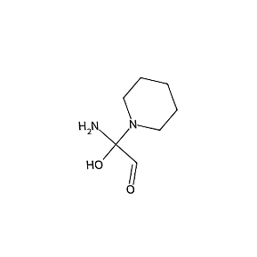 NC(O)(C=O)N1CCCCC1